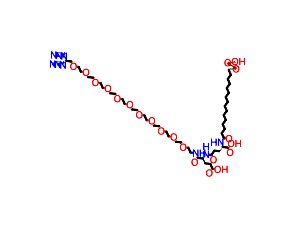 [N-]=[N+]=NC(COCCOCCOCCOCCOCCOCCOCCOCCOCCOCCOCCNC(=O)[C@H](CCC(=O)O)NC(=O)CC[C@H](NC(=O)CCCCCCCCCCCCCCCS(=O)(=O)O)C(=O)O)N=[N+]=[N-]